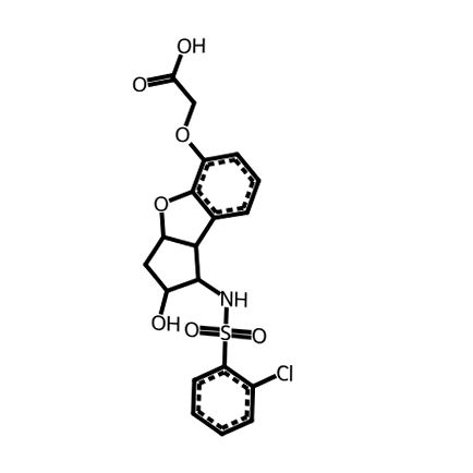 O=C(O)COc1cccc2c1OC1CC(O)C(NS(=O)(=O)c3ccccc3Cl)C21